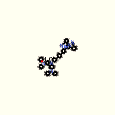 Cc1cc(-c2ccc(-c3ccc(-c4cc(-c5ccccc5C#N)nc(-c5ccccc5C#N)n4)cc3)cc2)ccc1-n1c2ccc(N(c3ccccc3)c3ccccc3)cc2c2cc(N(c3ccccc3)c3ccccc3)ccc21